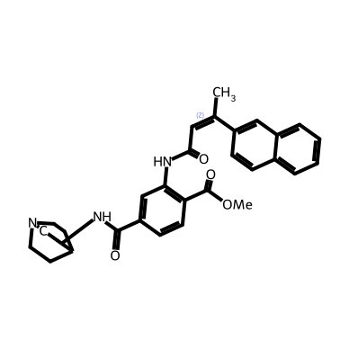 COC(=O)c1ccc(C(=O)NC2CN3CCC2CC3)cc1NC(=O)/C=C(/C)c1ccc2ccccc2c1